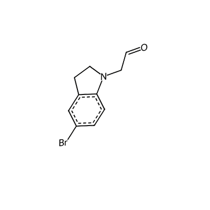 O=CCN1CCc2cc(Br)ccc21